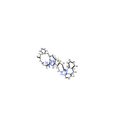 C=C1CC/C=C\NC(/C=c2/sc3c(/c2=C/N)CNC(N2c4ccccc4Cc4ccccc42)=C3)Cc2ccccc2C1